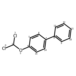 ClC(Cl)Oc1ccc(-c2ccccc2)cc1